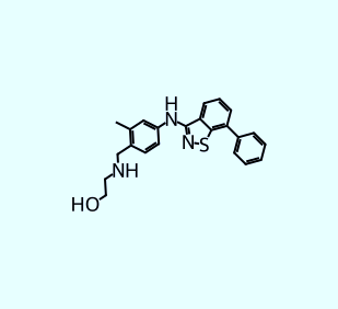 Cc1cc(Nc2nsc3c(-c4ccccc4)cccc23)ccc1CNCCO